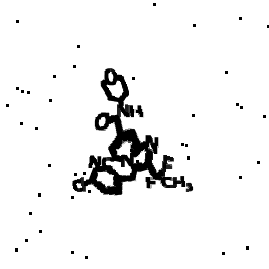 CC(F)(F)c1nc2cc(C(=O)NC3CCOCC3)cc(C#N)n2c1Cc1ccc(Cl)cc1